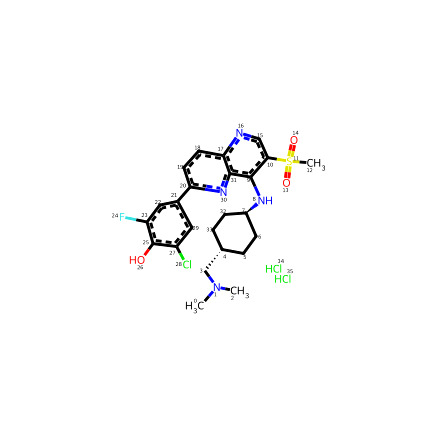 CN(C)C[C@H]1CC[C@H](Nc2c(S(C)(=O)=O)cnc3ccc(-c4cc(F)c(O)c(Cl)c4)nc23)CC1.Cl.Cl